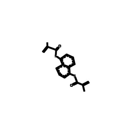 C=C(C)C(=O)Sc1cccc2c(SC(=O)C(=C)C)cccc12